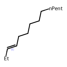 [CH2]CCCCCCCCC/C=C/CC